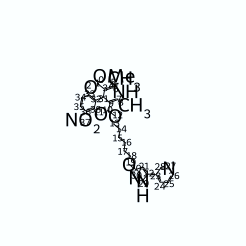 COC(=O)C1=C(C)NC(C)=C(C(=O)OCCCCCCOc2cc(-c3cccnc3)[nH]n2)C1c1cccc([N+](=O)[O-])c1